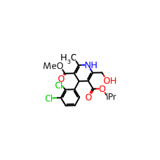 COC(=O)C1=C(C)NC(CO)=C(C(=O)OC(C)C)C1c1cccc(Cl)c1Cl